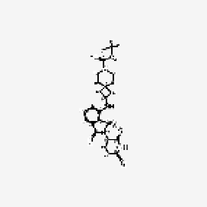 CC(C)(C)OC(=O)N1CCC2(CC1)CC(Nc1cccc3c1C(=O)N(C1CCC(=O)NC1=O)C3=O)C2